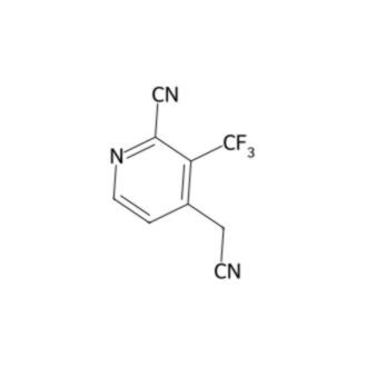 N#CCc1ccnc(C#N)c1C(F)(F)F